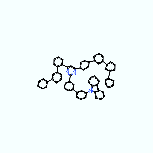 c1ccc(-c2cccc(-c3cccc(-c4ccc(-c5cc(-c6ccccc6-c6cccc(-c7ccccc7)c6)nc(-c6cccc(-c7cccc(-n8c9ccccc9c9ccccc98)c7)c6)n5)cc4)c3)c2)cc1